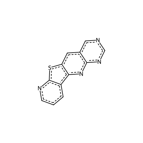 c1cnc2sc3cc4cncnc4nc3c2c1